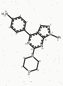 CC(C)n1ncc2c(-c3ccc(N)cc3)nc(N3CCOCC3)nc21